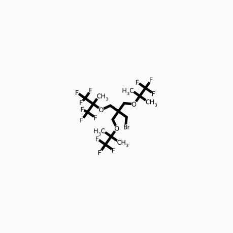 CC(C)(OCC(CBr)(COC(C)(C)C(F)(F)F)COC(C)(C(F)(F)F)C(F)(F)F)C(F)(F)F